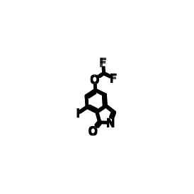 O=C1N=Cc2cc(OC(F)F)cc(I)c21